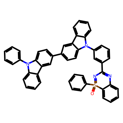 O=S1(c2ccccc2)=NC(c2cccc(-n3c4ccccc4c4cc(-c5ccc6c(c5)c5ccccc5n6-c5ccccc5)ccc43)c2)=Nc2ccccc21